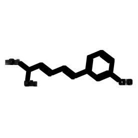 CCCCCCCCC(C=CC=Cc1cccc(C=O)c1)OC(C)=O